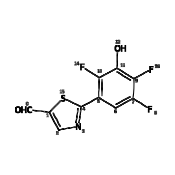 O=Cc1cnc(-c2cc(F)c(F)c(O)c2F)s1